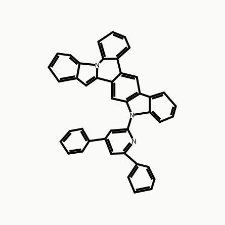 c1ccc(-c2cc(-c3ccccc3)nc(-n3c4ccccc4c4cc5c6ccccc6n6c7ccccc7cc6c5cc43)c2)cc1